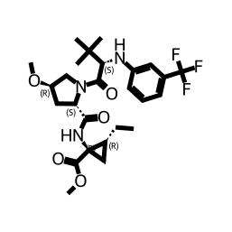 CC[C@@H]1C[C@]1(NC(=O)[C@@H]1C[C@@H](OC)CN1C(=O)[C@@H](Nc1cccc(C(F)(F)F)c1)C(C)(C)C)C(=O)OC